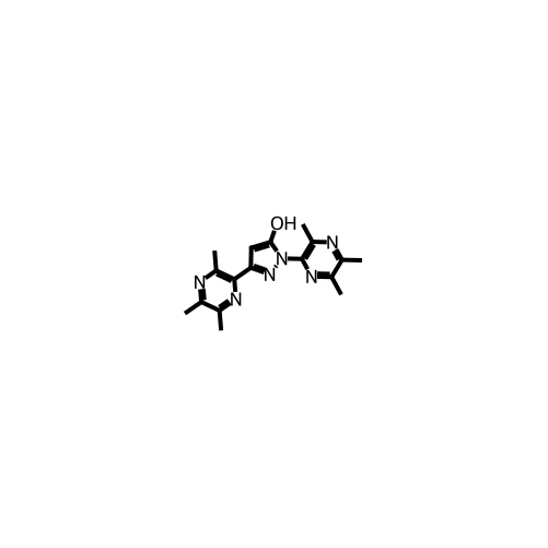 Cc1nc(C)c(-c2cc(O)n(-c3nc(C)c(C)nc3C)n2)nc1C